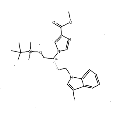 COC(=O)c1cn([C@H](CCn2cc(C)c3ccccc32)CO[Si](C)(C)C(C)(C)C)cn1